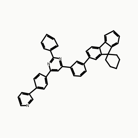 c1ccc(-c2nc(-c3ccc(-c4cccnc4)cc3)cc(-c3cccc(-c4ccc5c(c4)C4(CCCCC4)c4ccccc4-5)c3)n2)cc1